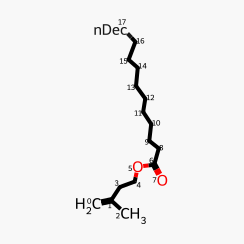 C=C(C)CCOC(=O)CCCCCCCCCCCCCCCCCCC